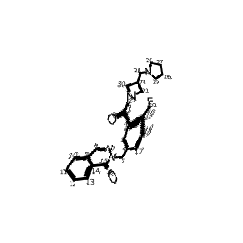 O=C(c1cc(Cn2ncc3ccccc3c2=O)ccc1F)N1CC(CN2CCCC2)C1